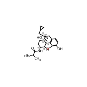 CCCCC(C)C(=O)N[C@H]1CC[C@@]2(O)[C@H]3Cc4ccc(O)c5c4[C@@]2(CCN3CC2CC2)[C@H]1O5